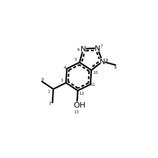 CC(C)c1cc2nnn(C)c2cc1O